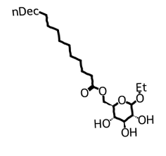 CCCCCCCCCCCCCCCCCCCC(=O)OC[C@H]1OC(OCC)[C@H](O)[C@@H](O)[C@@H]1O